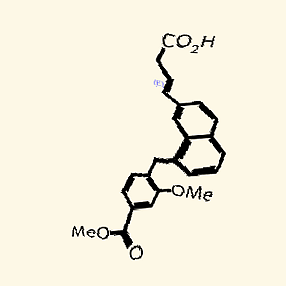 COC(=O)c1ccc(Cc2cccc3ccc(/C=C/CC(=O)O)cc23)c(OC)c1